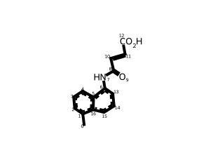 Cc1cccc2c(NC(=O)/C=C/C(=O)O)cccc12